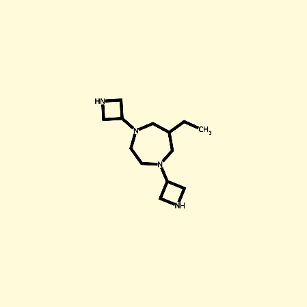 CCC1CN(C2CNC2)CCN(C2CNC2)C1